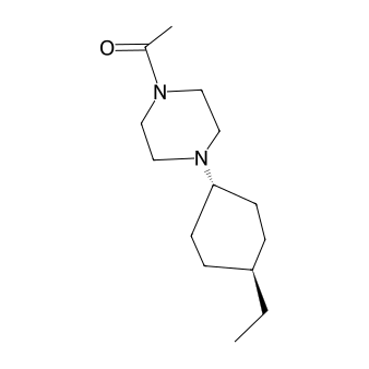 CC[C@H]1CC[C@H](N2CCN(C(C)=O)CC2)CC1